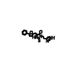 O=C1/C(=C/c2ccc(-c3ccccc3)o2)NC(=S)N1CCc1c[nH]cn1